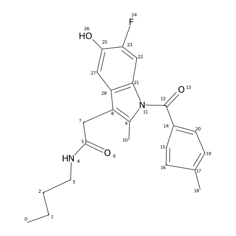 CCCCNC(=O)Cc1c(C)n(C(=O)c2ccc(C)cc2)c2cc(F)c(O)cc12